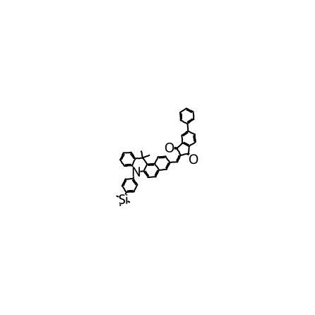 CC1(C)c2ccccc2N(c2ccc([Si](C)(C)C)cc2)c2ccc3cc(/C=C4/C(=O)c5ccc(-c6ccccc6)cc5C4=O)ccc3c21